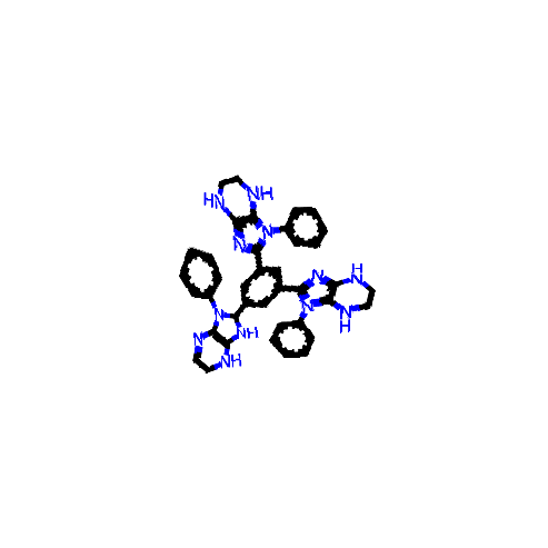 C1=NC2=C(NC1)NC(c1cc(-c3nc4c(n3-c3ccccc3)NCCN4)cc(-c3nc4c(n3-c3ccccc3)NCCN4)c1)N2c1ccccc1